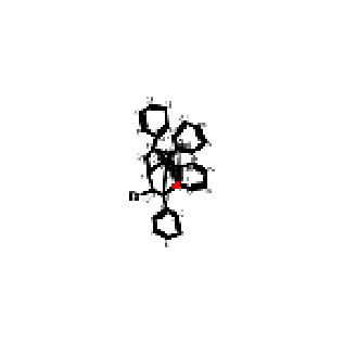 BrC1C2CC3(c4ccccc4)C(Br)C1CC(c1ccccc1)(C2Br)C3(c1ccccc1)c1ccccc1